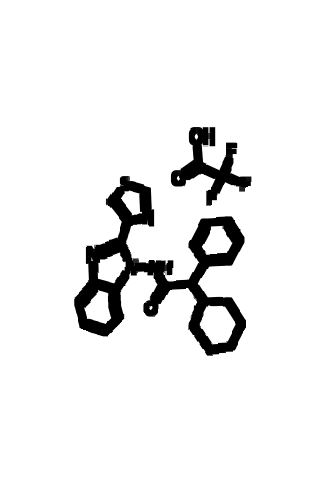 O=C(Nn1c(-c2cscn2)nc2ccccc21)C(c1ccccc1)C1CCCCC1.O=C(O)C(F)(F)F